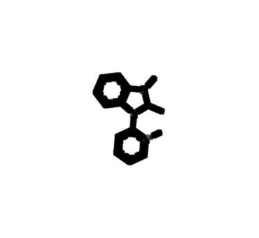 CC1N(C)c2ccccc2N1c1cccc[n+]1C